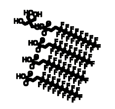 O=S(=O)(O)CCC(F)(F)C(F)(F)C(F)(F)C(F)(F)C(F)(F)C(F)(F)C(F)(F)C(F)(F)F.O=S(=O)(O)CCC(F)(F)C(F)(F)C(F)(F)C(F)(F)C(F)(F)C(F)(F)C(F)(F)C(F)(F)F.O=S(=O)(O)CCC(F)(F)C(F)(F)C(F)(F)C(F)(F)C(F)(F)C(F)(F)C(F)(F)C(F)(F)F.O=S(=O)(O)CCC(F)(F)C(F)(F)C(F)(F)C(F)(F)C(F)(F)C(F)(F)C(F)(F)C(F)(F)F.OCC(CO)(CO)CO